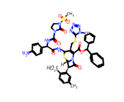 Cc1ccc(S(=O)(=O)O)c([C@@H]2C(=O)N3C(C(=O)OC(c4ccccc4)c4ccccc4)=C(CSc4nnnn4C)C(NC(=O)C(NC(=O)N4CCN(S(C)(=O)=O)C4=O)c4ccc(N)cc4)S[C@@H]23)c1